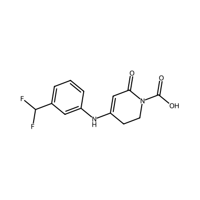 O=C(O)N1CCC(Nc2cccc(C(F)F)c2)=CC1=O